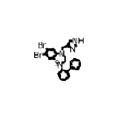 Brc1cc2c(cc1Br)N(Cc1c[nH]cn1)CCN(c1ccccc1-c1ccccc1)S2